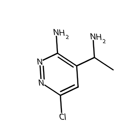 CC(N)c1cc(Cl)nnc1N